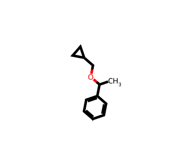 CC(OCC1CC1)c1cc[c]cc1